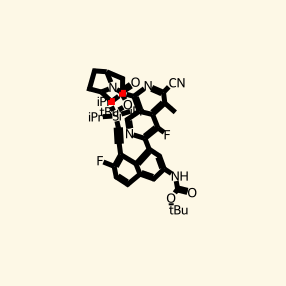 Cc1c(C#N)nc(N2CC3CCC(C2)N3C(=O)OC(C)(C)C)c2cnc(-c3cc(NC(=O)OC(C)(C)C)cc4ccc(F)c(C#C[Si](C(C)C)(C(C)C)C(C)C)c34)c(F)c12